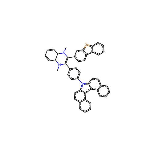 CN1C(c2ccc(-n3c4ccc5ccccc5c4c4c5ccccc5ccc43)cc2)=C(c2ccc3c(c2)sc2ccccc23)N(C)C2C=CC=CC21